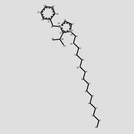 CCCCCCCCCCCCCCCC[n+]1ccn(Cc2ccccc2)c1C(C)C